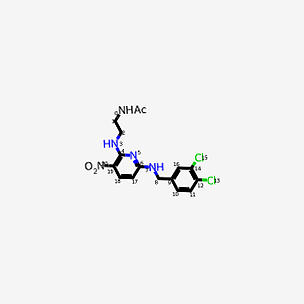 CC(=O)NCCNc1nc(NCc2ccc(Cl)c(Cl)c2)ccc1[N+](=O)[O-]